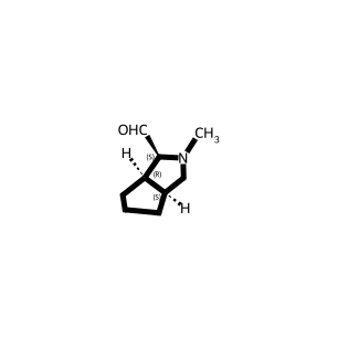 CN1C[C@H]2CCC[C@H]2[C@H]1C=O